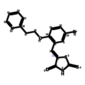 O=C1NC(=S)S/C1=C\c1cc(Br)ccc1OCCc1ccccn1